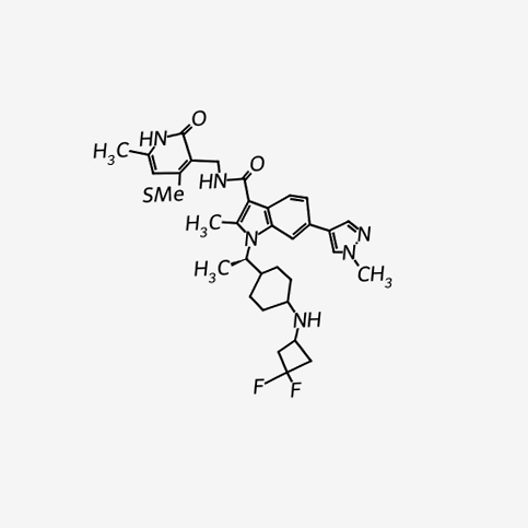 CSc1cc(C)[nH]c(=O)c1CNC(=O)c1c(C)n([C@H](C)C2CCC(NC3CC(F)(F)C3)CC2)c2cc(-c3cnn(C)c3)ccc12